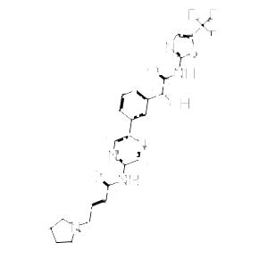 CC(C(=O)Nc1ncc(C(F)(F)F)s1)c1cccc(-c2cnc(NC(=O)/C=C/CN3CCCC3)cn2)c1